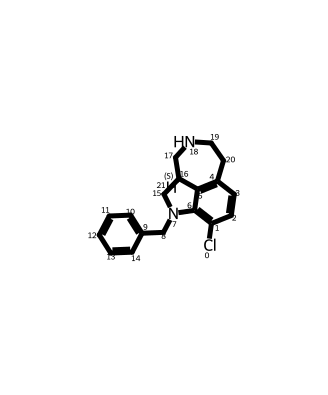 Clc1ccc2c3c1N(Cc1ccccc1)C[C@@H]3CNCC2